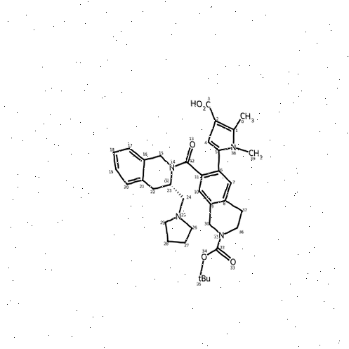 Cc1c(C(=O)O)cc(-c2cc3c(cc2C(=O)N2Cc4ccccc4C[C@H]2CN2CCCC2)CN(C(=O)OC(C)(C)C)CC3)n1C